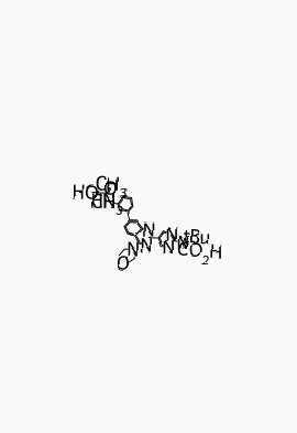 CC(C)(O)C(=O)Nc1cccc(-c2ccc3c(N4CCOCC4)nc(-c4cnc(N(C(=O)O)C(C)(C)C)nc4)nc3c2)c1